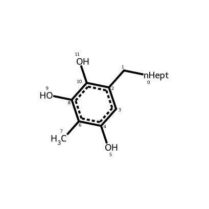 CCCCCCCCc1cc(O)c(C)c(O)c1O